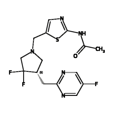 CC(=O)Nc1ncc(CN2C[C@H](Cc3ncc(F)cn3)C(F)(F)C2)s1